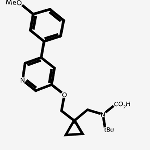 COc1cccc(-c2cncc(OCC3(CN(C(=O)O)C(C)(C)C)CC3)c2)c1